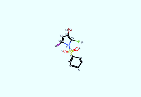 O=S(=O)(c1ccccc1)n1c(I)cc(Br)c1F